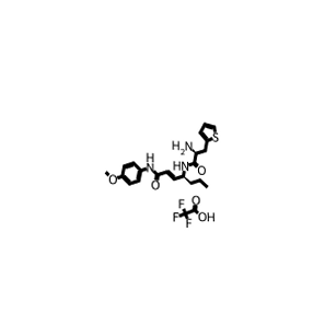 CCC[C@@H](/C=C/C(=O)Nc1ccc(OC)cc1)NC(=O)[C@@H](N)Cc1cccs1.O=C(O)C(F)(F)F